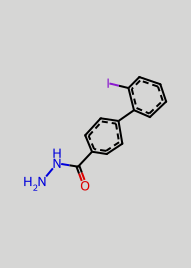 NNC(=O)c1ccc(-c2ccccc2I)cc1